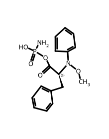 CON(c1ccccc1)[C@@H](Cc1ccccc1)C(=O)OP(N)(=O)O